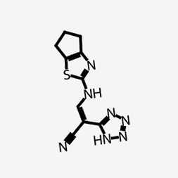 N#CC(=CNc1nc2c(s1)CCC2)c1nnn[nH]1